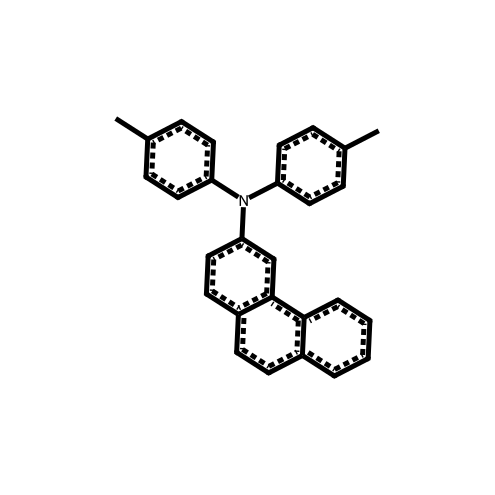 Cc1ccc(N(c2ccc(C)cc2)c2ccc3ccc4ccccc4c3c2)cc1